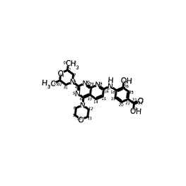 CC1CN(c2nc(N3CCOCC3)c3ccc(Nc4ccc(C(=O)O)cc4O)nc3n2)CC(C)O1